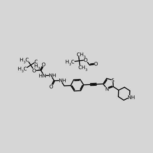 CC(C)(C)OC(=O)NNC(=O)NCc1ccc(C#Cc2csc(C3CCNCC3)n2)cc1.CC(C)(C)OC=O